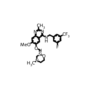 COc1cc2nc(C)nc(NCc3cc(F)cc(C(F)(F)F)c3)c2cc1OC[Si@@H]1CN(C)CCO1